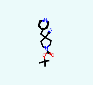 CC(C)(C)OC(=O)N1CCC(C#N)(Cc2ccncc2)CC1